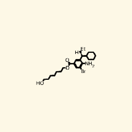 CCNC(c1cc(C(=O)OCCCCCCCO)cc(Br)c1N)C1CCCCC1